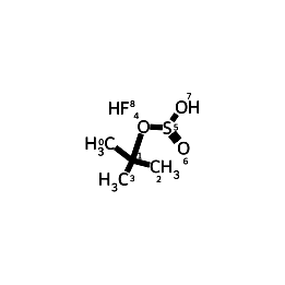 CC(C)(C)OS(=O)O.F